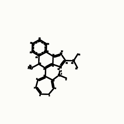 CN(C)C1=CCC=CC=C1C1=C2N=C(N(C)C)N=C2c2ccccc2C1O